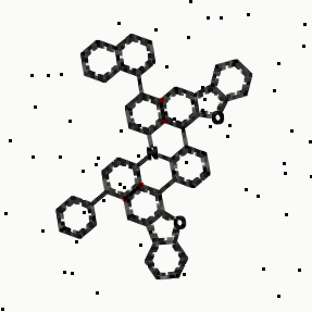 c1ccc(-c2ccc(N(c3ccc(-c4cccc5ccccc45)cc3)c3c(-c4cccc5c4oc4ccccc45)cccc3-c3cccc4c3oc3ccccc34)cc2)cc1